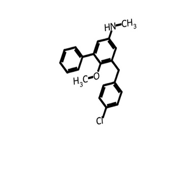 CNc1cc(Cc2ccc(Cl)cc2)c(OC)c(-c2ccccc2)c1